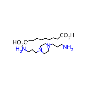 NCCCN1CCN(CCCN)CC1.O=C(O)CCCCCCCCC(=O)O